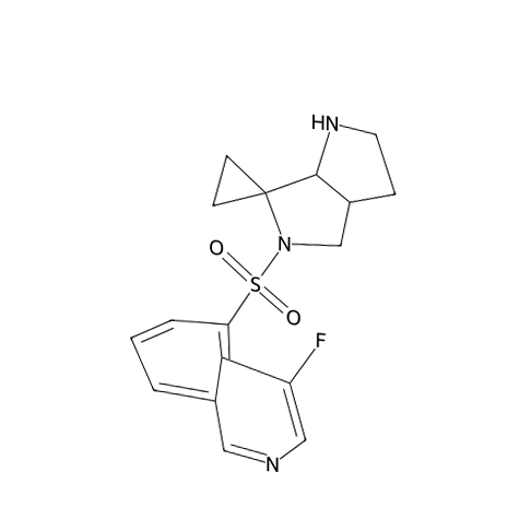 O=S(=O)(c1cccc2cncc(F)c12)N1CC2CCNC2C12CC2